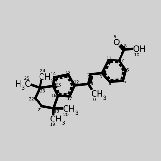 CC(=Cc1cccc(C(=O)O)c1)c1ccc2c(c1)C(C)(C)CCC2(C)C